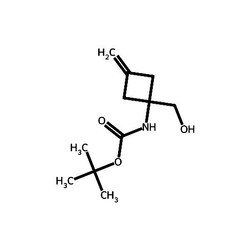 C=C1CC(CO)(NC(=O)OC(C)(C)C)C1